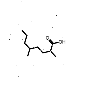 CCCC(C)CCC(C)C(=O)O